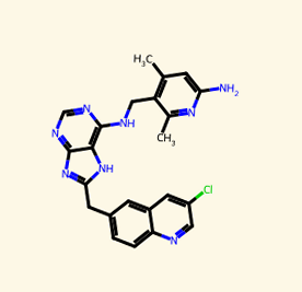 Cc1cc(N)nc(C)c1CNc1ncnc2nc(Cc3ccc4ncc(Cl)cc4c3)[nH]c12